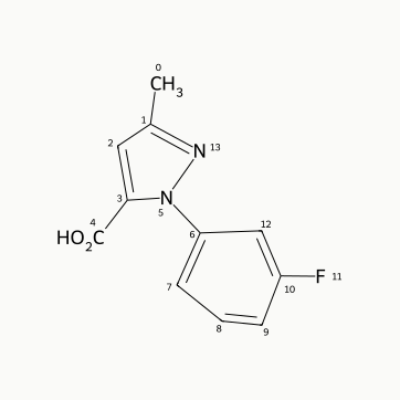 Cc1cc(C(=O)O)n(-c2cccc(F)c2)n1